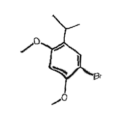 COc1cc(OC)c(C(C)C)cc1Br